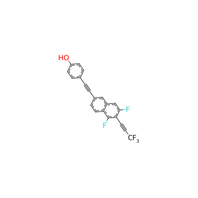 Oc1ccc(C#Cc2ccc3c(F)c(C#CC(F)(F)F)c(F)cc3c2)cc1